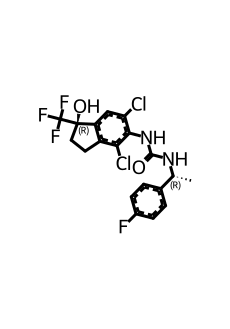 C[C@@H](NC(=O)Nc1c(Cl)cc2c(c1Cl)CC[C@]2(O)C(F)(F)F)c1ccc(F)cc1